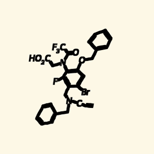 C=CCN(Cc1ccccc1)Cc1c(Br)cc(OCc2ccccc2)c(N(CC(=O)O)C(=O)C(F)(F)F)c1F